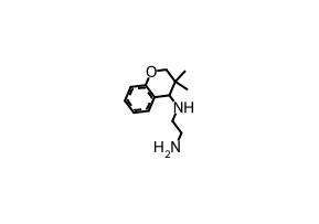 CC1(C)COc2ccccc2C1NCCN